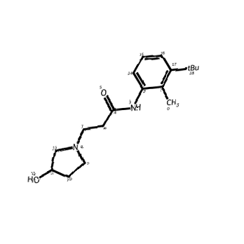 Cc1c(NC(=O)CCN2CCC(O)C2)cccc1C(C)(C)C